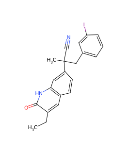 CCc1cc2ccc(C(C)(C#N)Cc3cccc(I)c3)cc2[nH]c1=O